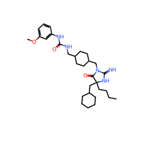 CCCCC1(CC2CCCCC2)NC(=N)N(CC2CCC(CNC(=O)Nc3cccc(OC)c3)CC2)C1=O